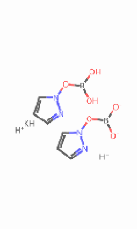 OB(O)On1cccn1.[H+].[H+].[KH].[O-]B([O-])On1cccn1